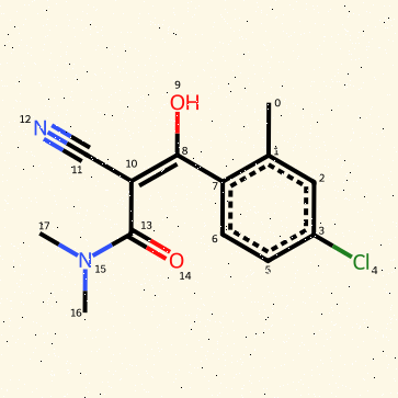 Cc1cc(Cl)ccc1C(O)=C(C#N)C(=O)N(C)C